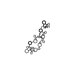 CC(C)(C)C(=O)N1CCCC(c2cccc(C(=O)N[C@@H](C(=O)N3CCC(OC4CCN(CC(=O)N5CCN(C(=O)c6cc(Cc7n[nH]c(=O)c8ccccc78)ccc6F)CC5)CC4)CC3)C3CCCCC3)c2)C1